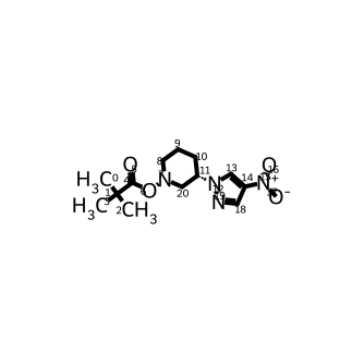 CC(C)(C)C(=O)ON1CCC[C@H](n2cc([N+](=O)[O-])cn2)C1